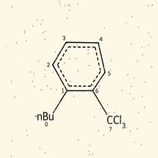 CCC[CH]c1ccccc1C(Cl)(Cl)Cl